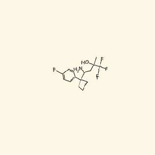 CC(O)(CC(N)C1(c2ccc(F)cc2)CCC1)C(F)(F)F